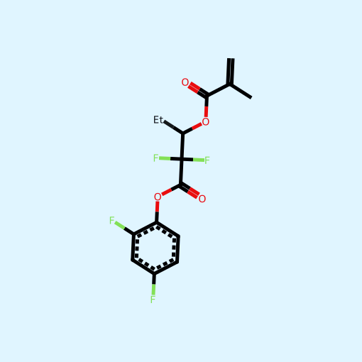 C=C(C)C(=O)OC(CC)C(F)(F)C(=O)Oc1ccc(F)cc1F